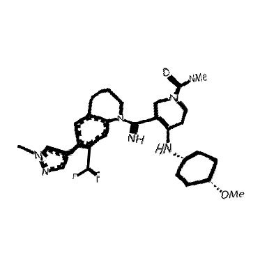 CNC(=O)N1CCC(N[C@H]2CC[C@@H](OC)CC2)=C(C(=N)N2CCCc3cc(-c4cnn(C)c4)c(C(F)F)cc32)C1